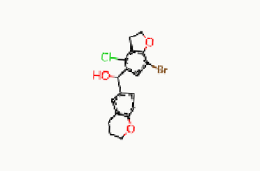 OC(c1ccc2c(c1)CCCO2)c1cc(Br)c2c(c1Cl)CCO2